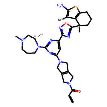 C=CC(=O)N1CC2=C(C1)CN(c1cc(-c3noc([C@@]4(C)CCCc5sc(N)c(C#N)c54)n3)nc(N3CCCN(C)C[C@@H]3C)n1)C2